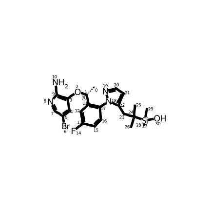 C[C@@H](Oc1cc(Br)cnc1N)c1cc(F)ccc1-n1nccc1CC(C)(C)[Si](C)(C)O